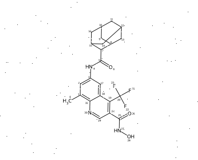 Cc1cc(NC(=O)C2C3CC4CC(C3)CC2C4)cc2c(C(F)(F)F)c(C(=O)NO)cnc12